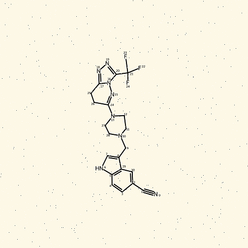 N#Cc1ccc2[nH]cc(CN3CCN(C4=Nn5c(nnc5C(F)(F)F)CC4)CC3)c2c1